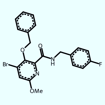 COc1cc(Br)c(OCc2ccccc2)c(C(=O)NCc2ccc(F)cc2)n1